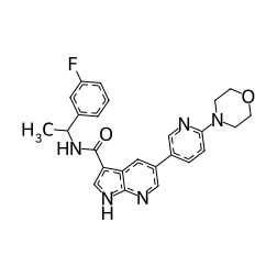 CC(NC(=O)c1c[nH]c2ncc(-c3ccc(N4CCOCC4)nc3)cc12)c1cccc(F)c1